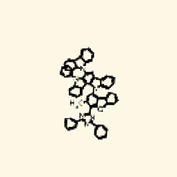 Cc1cc(-n2c3ccccc3c3cc(-n4c5ccccc5c5ccccc54)c4c(c5ccccc5n4-c4ccccc4)c32)c2c(oc3ccccc32)c1-c1nc(-c2ccccc2)nc(-c2ccccc2)n1